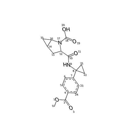 COC(=O)c1ccc(C2(NC(=O)C3CC4CC4N3C(=O)O)CC2)cc1